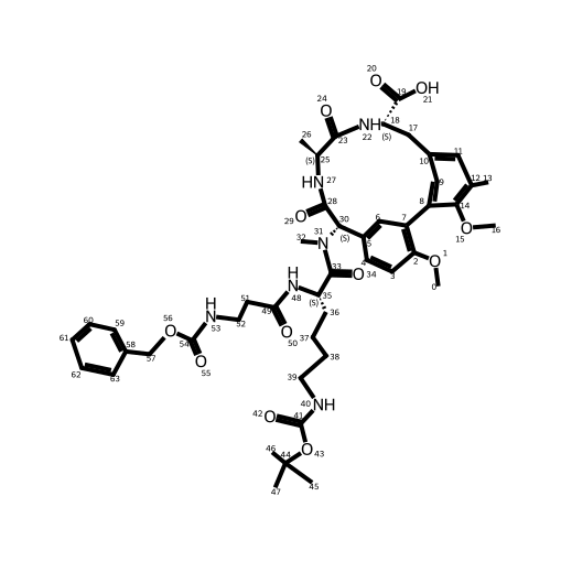 COc1ccc2cc1-c1cc(cc(C)c1OC)C[C@@H](C(=O)O)NC(=O)[C@H](C)NC(=O)[C@H]2N(C)C(=O)[C@H](CCCCNC(=O)OC(C)(C)C)NC(=O)CCNC(=O)OCc1ccccc1